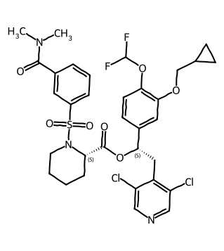 CN(C)C(=O)c1cccc(S(=O)(=O)N2CCCC[C@H]2C(=O)O[C@@H](Cc2c(Cl)cncc2Cl)c2ccc(OC(F)F)c(OCC3CC3)c2)c1